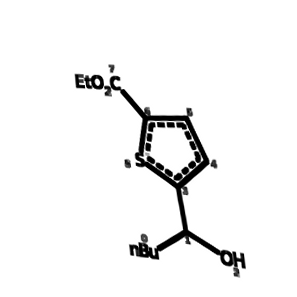 CCCCC(O)c1ccc(C(=O)OCC)s1